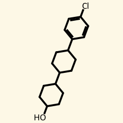 OC1CCC(C2CCC(c3ccc(Cl)cc3)CC2)CC1